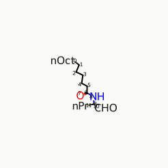 CCCCCCCCCCCCCC(=O)NC(C=O)CCC